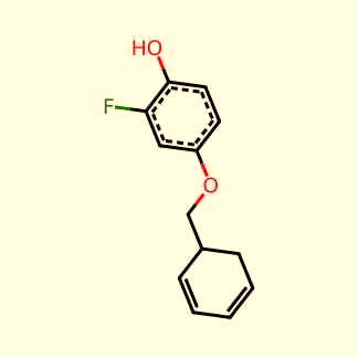 Oc1ccc(OCC2C=CC=CC2)cc1F